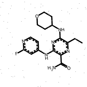 CCc1nc(C(N)=O)c(Nc2ccnc(F)c2)nc1NC1CCOCC1